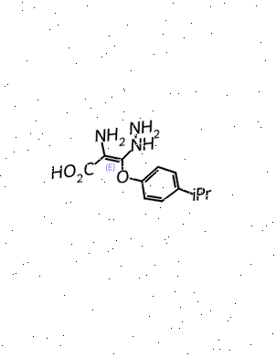 CC(C)c1ccc(O/C(NN)=C(/N)C(=O)O)cc1